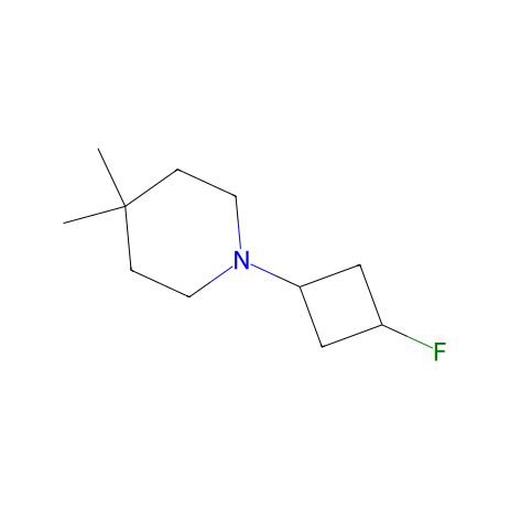 CC1(C)CCN(C2CC(F)C2)CC1